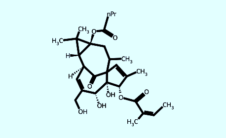 C/C=C(/C)C(=O)O[C@H]1C(C)=CC23C(=O)[C@@H](C=C(CO)[C@@H](O)[C@]12O)[C@@H]1C(C)(C)[C@]1(OC(=O)CCC)CC3C